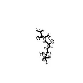 CC(C)C(=O)N1CCO[C@@H](CCCNC(C)(C)C)C1